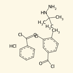 CC(C)(C)NN.Cc1ccc(C(=O)Cl)cc1Cl.Cl.O=C(Cl)c1ccccc1